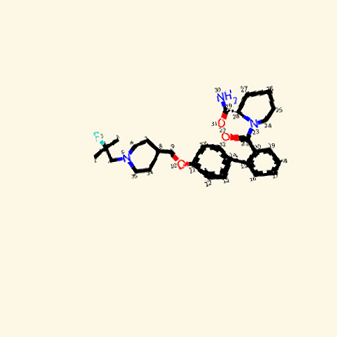 CC(C)(F)CN1CCC(COc2ccc(-c3ccccc3C(=O)N3CCCC[C@H]3C(N)=O)cc2)CC1